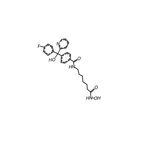 O=C(CCCCCCNC(=O)c1ccc(C(O)(c2ccc(F)cc2)c2ccccn2)cc1)NO